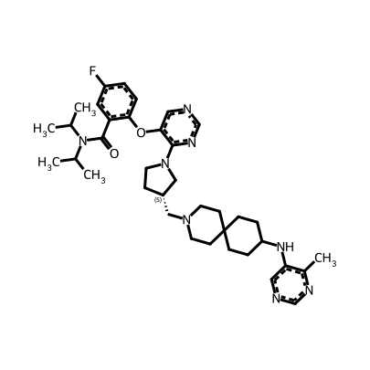 Cc1ncncc1NC1CCC2(CC1)CCN(C[C@@H]1CCN(c3ncncc3Oc3ccc(F)cc3C(=O)N(C(C)C)C(C)C)C1)CC2